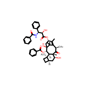 CC(=O)O[C@H]1C(=O)[C@@]2(C)[C@H]([C@H](OC(=O)c3ccccc3)[C@]3(O)C[C@H](OC(=O)[C@H](O)[C@@H](NC(=O)c4ccccc4)c4ccccc4)C(C)=C1C3(C)C)[C@]1(OC(C)=O)CC[C@@H]1C[C@@H]2O